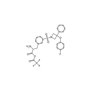 NC(Cc1cccc(S(=O)(=O)N2CC(Oc3ccc(F)cc3)(c3ccccc3)C2)c1)C(=O)OC(=O)C(F)(F)F